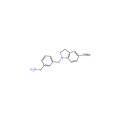 COc1ccc2c(c1)CCN2Cc1cccc(CN)c1